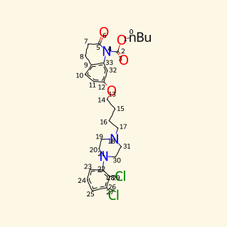 CCCCOC(=O)N1C(=O)CCc2ccc(OCCCCN3CCN(c4cccc(Cl)c4Cl)CC3)cc21